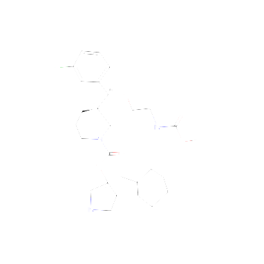 COC(=O)NCCO[C@@H](c1cccc(Cl)c1)[C@@H]1CCCN(C(=O)O[C@@]2(CC3CCCCC3)CCNC2)C1